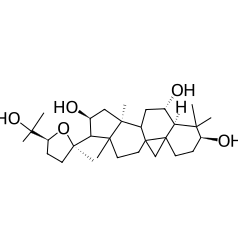 CC(C)(O)[C@@H]1CC[C@](C)(C2[C@@H](O)C[C@@]3(C)C4C[C@H](O)[C@H]5C(C)(C)[C@@H](O)CCC56CC46CCC23C)O1